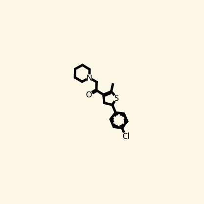 CC1=C(C(=O)CN2CCCCC2)CC(c2ccc(Cl)cc2)S1